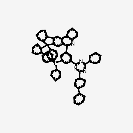 c1ccc(-c2ccc(-c3nc(-c4ccccc4)nc(-c4cc(-c5nc6ccccc6c6cc7c(cc56)C5(c6ccccc6-c6ccccc65)c5ccccc5-7)cc(P(c5ccccc5)c5ccccc5)c4)n3)cc2)cc1